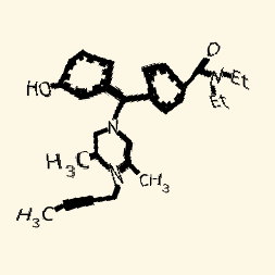 CC#CCN1C(C)CN(C(c2ccc(C(=O)N(CC)CC)cc2)c2cccc(O)c2)CC1C